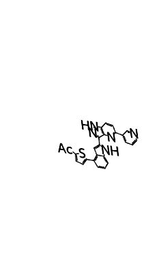 CC(=O)c1ccc(-c2cccc3[nH]c(-c4n[nH]c5ccc(-c6cccnc6)nc45)cc23)s1